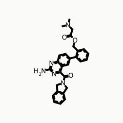 CN(C)CC(=O)OCc1ccccc1-c1ccc2nc(N)nc(C(=O)N3Cc4ccccc4C3)c2c1